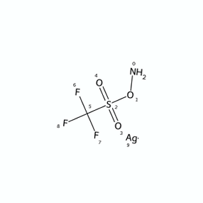 NOS(=O)(=O)C(F)(F)F.[Ag]